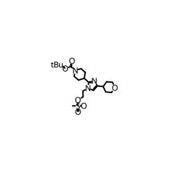 CC(C)(C)OC(=O)N1CCC(c2nc(C3CCOCC3)cn2CCOS(C)(=O)=O)CC1